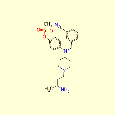 CC(N)CCN1CCC(N(Cc2cccc(C#N)c2)c2ccc(OS(C)(=O)=O)cc2)CC1